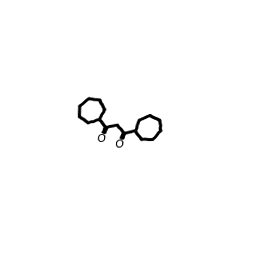 O=C(CC(=O)C1CCCCCC1)C1CCCCCC1